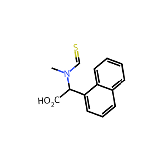 CN(C=S)C(C(=O)O)c1cccc2ccccc12